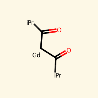 CC(C)C(=O)CC(=O)C(C)C.[Gd]